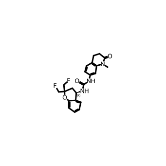 CN1C(=O)CCc2ccc(NC(=O)N[C@@H]3CC(CF)(CF)Oc4ccccc43)cc21